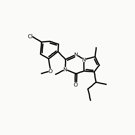 CCC(C)c1cc(C)n2nc(-c3ccc(Cl)cc3OC)n(C)c(=O)c12